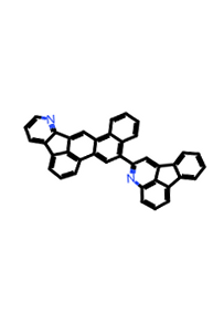 c1ccc2c(c1)-c1cccc3nc(-c4cc5c6cccc7c6c(cc5c5ccccc45)-c4ncccc4-7)cc-2c13